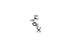 O=C(O)N[C@@H]1CC[C@@H](NCC(F)(F)F)C1